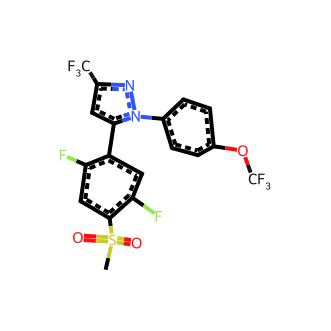 CS(=O)(=O)c1cc(F)c(-c2cc(C(F)(F)F)nn2-c2ccc(OC(F)(F)F)cc2)cc1F